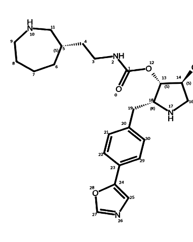 O=C(NCC[C@@H]1CCCCNC1)O[C@@H]1[C@@H](O)CN[C@@H]1Cc1ccc(-c2cnco2)cc1